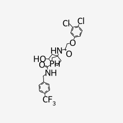 O=C(COc1ccc(Cl)c(Cl)c1)NC12CC[PH](C(=O)NCc3ccc(C(F)(F)F)cc3)(C1)C(O)C2